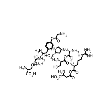 CC[C@H](C)[C@H](N)C(=O)OC(=O)[C@@H](N)CS.N=C(N)NCCC[C@H](N)C(=O)OC(=O)C[C@H](N)C(=O)O.NCC(=O)O.NCC(=O)Oc1ccc(C[C@H](N)C(=O)O)cc1.N[C@@H](CO)C(=O)O.O=C(O)[C@@H]1CCCN1